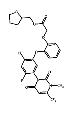 Cn1c(C(F)(F)F)cc(=O)n(-c2cc(Oc3ccccc3OCC(=O)OCC3CCCO3)c(Cl)cc2F)c1=O